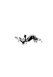 CC(NS(=O)(=O)c1ccc(-c2sc(-c3cnc(CC(C)(C)C(=O)O)s3)nc2CC2CCC2)c(Cl)c1Cl)C(F)(F)F